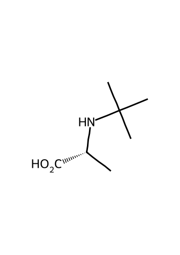 C[C@@H](NC(C)(C)C)C(=O)O